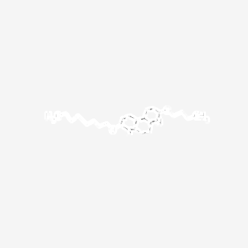 CCCCCCCCOc1ccc2c(ccc3nc(OCCCC)ccc32)n1